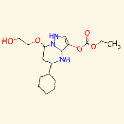 CCOC(=O)OC1=CNN2C(OCCO)CC(C3CCCCC3)NC12